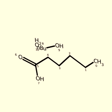 CCCCCC(=O)O.CCCCO.O